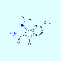 COc1ccc2c(c1)c(NC(C)C)c(C(N)=O)[s+]2[O-]